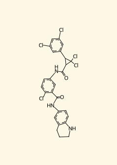 O=C(Nc1ccc2c(c1)CCCN2)c1cc(NC(=O)C2C(c3cc(Cl)cc(Cl)c3)C2(Cl)Cl)ccc1Cl